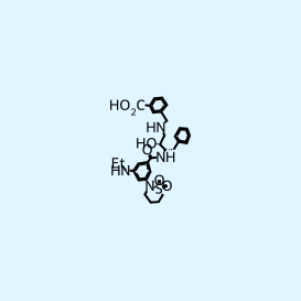 CCNc1cc(C(=O)N[C@@H](Cc2ccccc2)[C@H](O)CNCc2cccc(C(=O)O)c2)cc(N2CCCCS2(=O)=O)c1